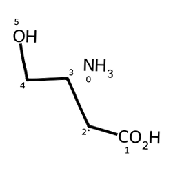 N.O=C(O)[CH]CCO